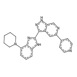 c1cc(N2CCCCC2)c2nc(-c3n[nH]c4cnc(-c5ccncc5)cc34)[nH]c2c1